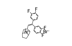 C[N+]1(C)C2CCC1CC(C=C(c1ccc(F)c(F)c1)c1ccc(F)c(F)c1)C2.[Br-]